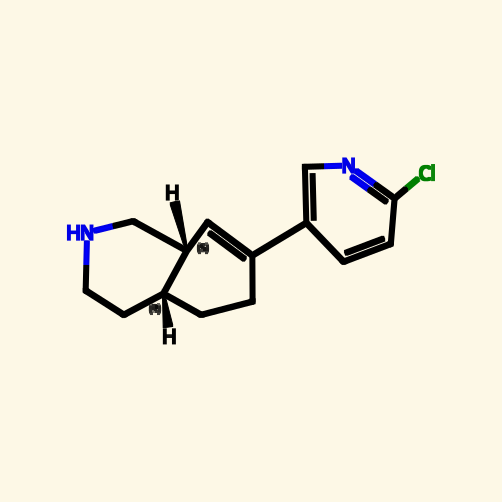 Clc1ccc(C2=C[C@H]3CNCC[C@H]3CC2)cn1